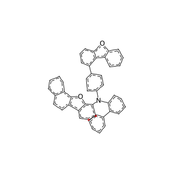 c1ccc(-c2ccccc2N(c2ccc(-c3cccc4oc5ccccc5c34)cc2)c2cccc3c2oc2c4ccccc4ccc32)cc1